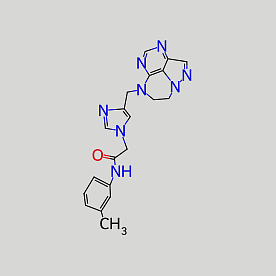 Cc1cccc(NC(=O)Cn2cnc(CN3CCn4ncc5ncnc3c54)c2)c1